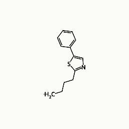 [CH2]CCCc1ncc(-c2ccccc2)s1